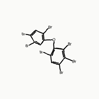 Brc1cc(Br)c(Oc2c(Br)cc(Br)c(Br)c2Br)cc1Br